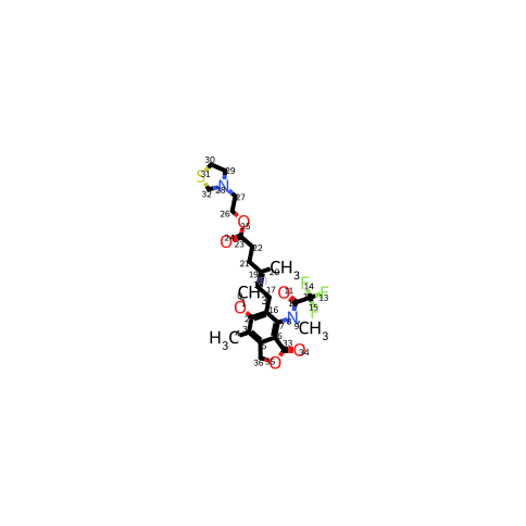 COc1c(C)c2c(c(N(C)C(=O)C(F)(F)F)c1C/C=C(\C)CCC(=O)OCCN1CCSC1)C(=O)OC2